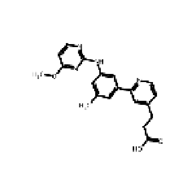 COc1ccnc(Nc2cc(C)cc(-c3cc(CCC(=O)O)ccn3)c2)n1